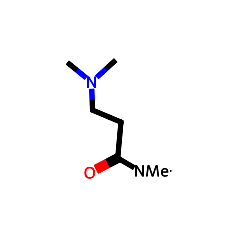 C[N]C(=O)CCN(C)C